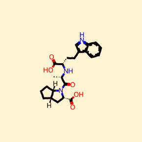 C[C@H](N[C@@H](CCc1c[nH]c2ccccc12)C(=O)O)C(=O)N1[C@H](C(=O)O)C[C@@H]2CCC[C@@H]21